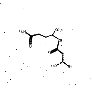 CCC(O)CC(=O)NC(CCC(N)=O)C(=O)O